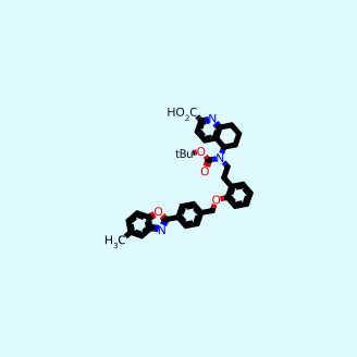 Cc1ccc2oc(-c3ccc(COc4ccccc4CCN(C(=O)OC(C)(C)C)C4CCCc5nc(C(=O)O)ccc54)cc3)nc2c1